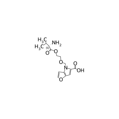 CC(C)[C@H](N)C(=O)OCCOCn1c(C(=O)O)cc2occc21